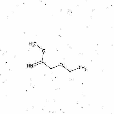 CCOCC(=N)OC